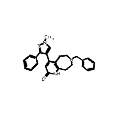 Cn1cc(-c2cc(=O)[nH]c3c2CCN(Cc2ccccc2)CC3)c(-c2ccccc2)n1